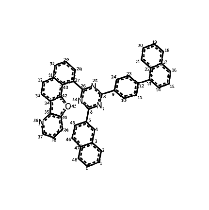 c1ccc2cc(-c3nc(-c4ccc(-c5cccc6ccccc56)cc4)nc(-c4cccc5ccc6c7ncccc7oc6c45)n3)ccc2c1